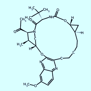 COc1ccc2nc3c(nc2c1)O[C@H]1CN(C(=O)[C@H](C(C)(C)C)NC(=O)O[C@@H]2C[C@H]2CCCCC3)[C@H](C(C)=O)[C@@H]1C